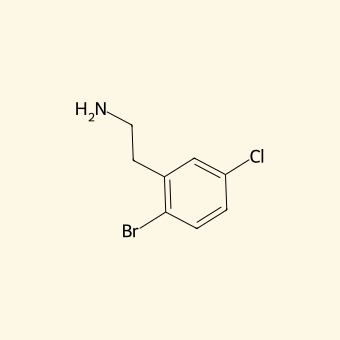 NCCc1cc(Cl)ccc1Br